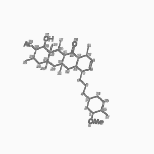 COC1CC(CCCC2C=CC(C)C3C(=O)C4C(C)C5(C)C(O)C(C(C)=O)C(C)CC5(C)CC4(C)CC23)CCC1C